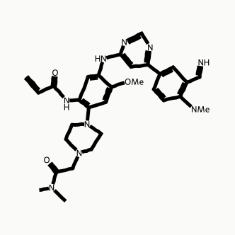 C=CC(=O)Nc1cc(Nc2cc(-c3ccc(NC)c(C=N)c3)ncn2)c(OC)cc1N1CCN(CC(=O)N(C)C)CC1